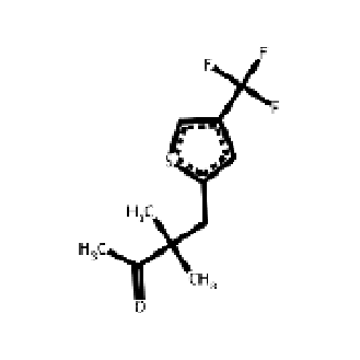 CC(=O)C(C)(C)Cc1cc(C(F)(F)F)cs1